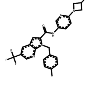 Cc1ccc(Cn2c(C(=O)Nc3ccc(N4CC(O)C4)nc3)cc3cc(C(F)(F)F)cnc32)cc1